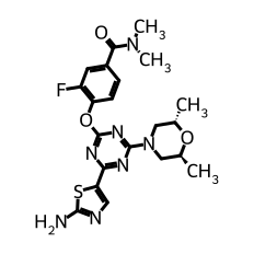 C[C@H]1CN(c2nc(Oc3ccc(C(=O)N(C)C)cc3F)nc(-c3cnc(N)s3)n2)C[C@H](C)O1